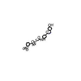 O=C(CSc1nnc(-c2cccc([N+](=O)[O-])c2)o1)Nc1ccc(C(=O)/C=C\c2ccc(O)cc2)cc1